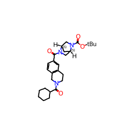 CC(C)(C)OC(=O)N1C[C@@H]2C[C@H]1CN2C(=O)c1ccc2c(c1)CCN(C(=O)C1CCCCC1)C2